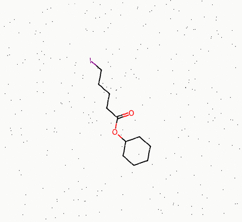 O=C(CCCCI)OC1CCCCC1